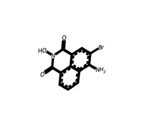 Nc1c(Br)cc2c3c(cccc13)C(=O)N(O)C2=O